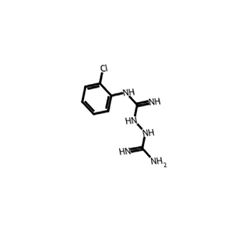 N=C(N)NNC(=N)Nc1ccccc1Cl